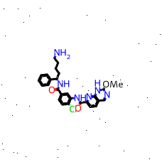 COC1N=Cc2ccc(C(=O)Nc3cc(C(=O)NC(CCCCN)c4ccccc4)ccc3Cl)nc2N1